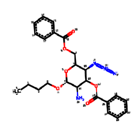 CCCCO[C@@H]1OC(COC(=O)c2ccccc2)[C@@H](N=[N+]=[N-])C(OC(=O)c2ccccc2)C1N